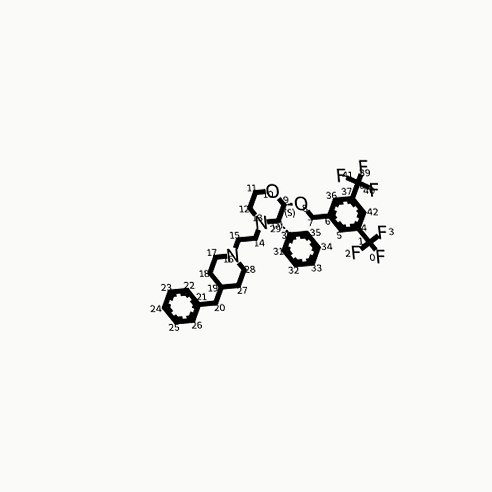 FC(F)(F)c1cc(CO[C@H]2OCCN(CCN3CCC(Cc4ccccc4)CC3)[C@H]2c2ccccc2)cc(C(F)(F)F)c1